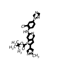 Cn1cc(-c2cc3cnc(Nc4ccc(-n5cncn5)cc4Cl)cc3n2C(=O)OC(C)(C)C)cn1